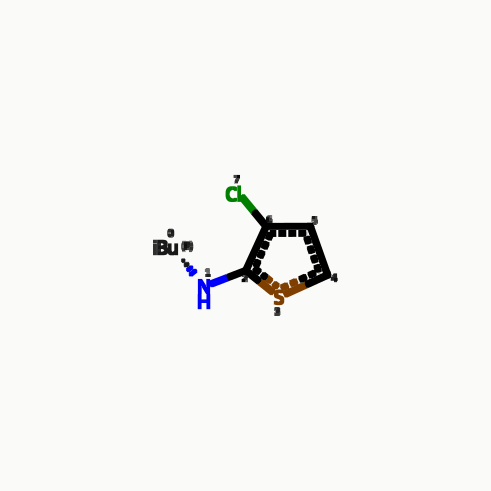 CC[C@@H](C)Nc1sccc1Cl